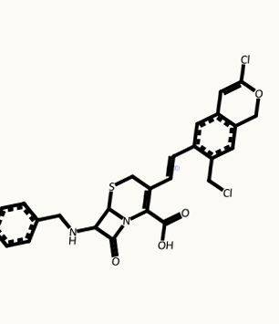 O=C(O)C1=C(/C=C/c2cc3c(cc2CCl)COC(Cl)=C3)CSC2C(NCc3ccccc3)C(=O)N12